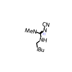 CCC(C)CN/C(=N/C#N)NC